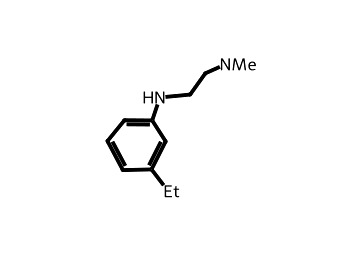 CCc1cccc(NCCNC)c1